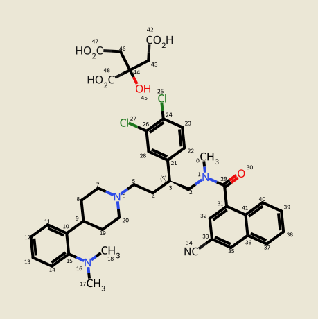 CN(C[C@@H](CCN1CCC(c2ccccc2N(C)C)CC1)c1ccc(Cl)c(Cl)c1)C(=O)c1cc(C#N)cc2ccccc12.O=C(O)CC(O)(CC(=O)O)C(=O)O